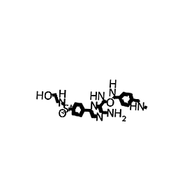 CNCc1ccc(C(=N)OC(=N)c2nc(-c3ccc([S+]([O-])NCCO)cc3)cnc2N)cc1